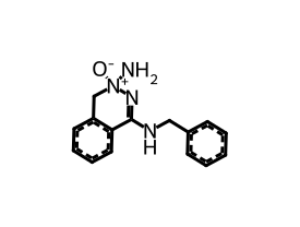 N[N+]1([O-])Cc2ccccc2C(NCc2ccccc2)=N1